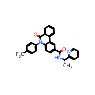 C[C@H](NC(=O)c1ccc2c(c1)c1ccccc1c(=O)n2-c1ccc(C(F)(F)F)cc1)c1ccccn1